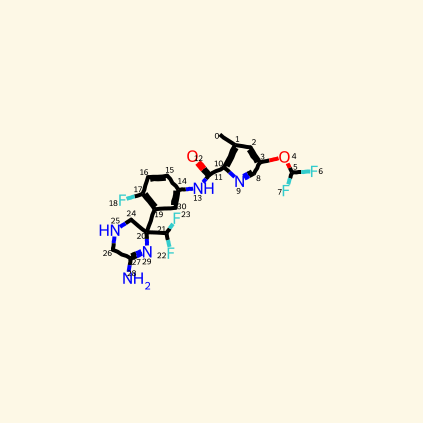 Cc1cc(OC(F)F)cnc1C(=O)Nc1ccc(F)c(C2(C(F)F)CNCC(N)=N2)c1